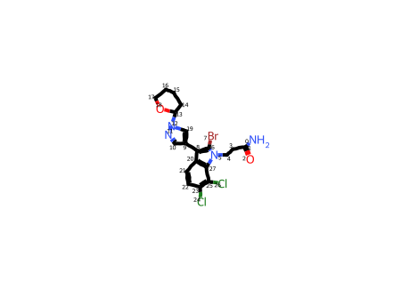 NC(=O)CCn1c(Br)c(-c2cnn(C3CCCCO3)c2)c2ccc(Cl)c(Cl)c21